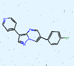 Clc1ccc(-c2cnc3c(-c4ccncc4)cnn3c2)cc1